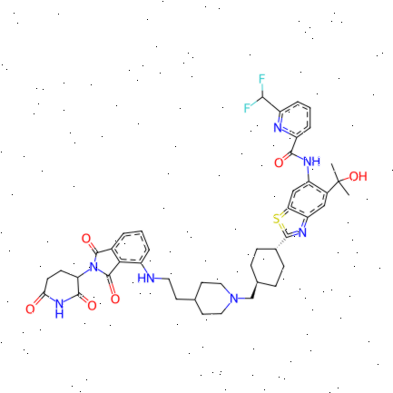 CC(C)(O)c1cc2nc([C@H]3CC[C@H](CN4CCC(CCNc5cccc6c5C(=O)N(C5CCC(=O)NC5=O)C6=O)CC4)CC3)sc2cc1NC(=O)c1cccc(C(F)F)n1